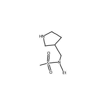 CCN(CC1CCNC1)S(C)(=O)=O